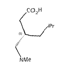 CNC[C@H](CC(=O)O)CC(C)C